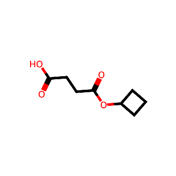 O=C(O)CCC(=O)OC1CCC1